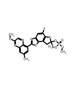 COc1cnc2c(-c3nc4cc(F)c5c(c4s3)CC(C)(OP(=O)(O)OC)O5)cc(C)cc2n1